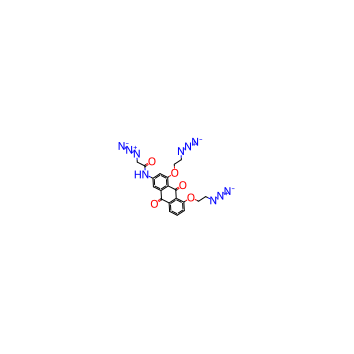 [N-]=[N+]=NCCOc1cccc2c1C(=O)c1c(OCCN=[N+]=[N-])cc(NC(=O)CN=[N+]=[N-])cc1C2=O